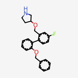 Fc1ccc(-c2ccccc2OCc2ccccc2)c(COC2CCNC2)c1